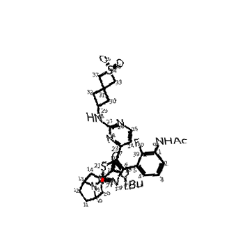 CC(=O)Nc1cccc(-c2nc(N3C4CCC3CN(C(=O)OC(C)(C)C)C4)sc2-c2ccnc(NC3CC4(C3)CS(=O)(=O)C4)n2)c1F